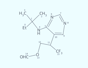 CCC(C)(C)Nc1ncncc1C(COC=O)C(F)(F)F